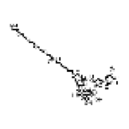 Cc1cn([C@H]2CC(O)[C@@H](COP(=O)(O)OP(=O)(O)OP(=O)(O)OP(=O)(O)OP(=O)(O)OP(=O)(O)OCCCCCCNC(=O)CCOCCOCCOCCOCCN)O2)c(=O)[nH]c1=O